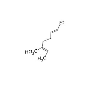 CC=C(CCC=CCC)C(=O)O